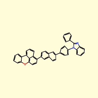 c1ccc(-c2nc3ccccc3n2-c2ccc(-c3ccc4cc(-c5ccc6c7c(cccc57)-c5ccccc5O6)ccc4c3)cc2)cc1